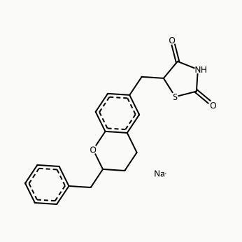 O=C1NC(=O)C(Cc2ccc3c(c2)CCC(Cc2ccccc2)O3)S1.[Na]